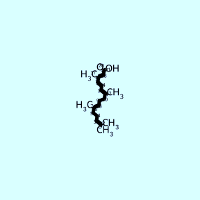 CC(C)=CCCC(C)=CCCC(C)=CC=CC(C)=CC(=O)O